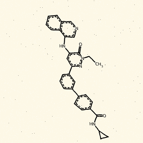 CCn1nc(-c2cccc(-c3ccc(C(=O)NC4CC4)cc3)c2)cc(Nc2cncc3ccccc23)c1=O